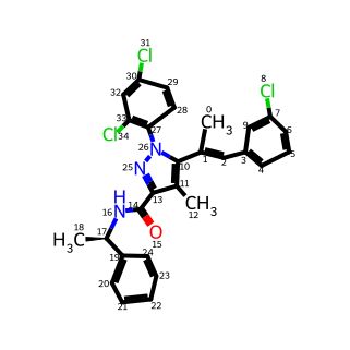 CC(=Cc1cccc(Cl)c1)c1c(C)c(C(=O)N[C@H](C)c2ccccc2)nn1-c1ccc(Cl)cc1Cl